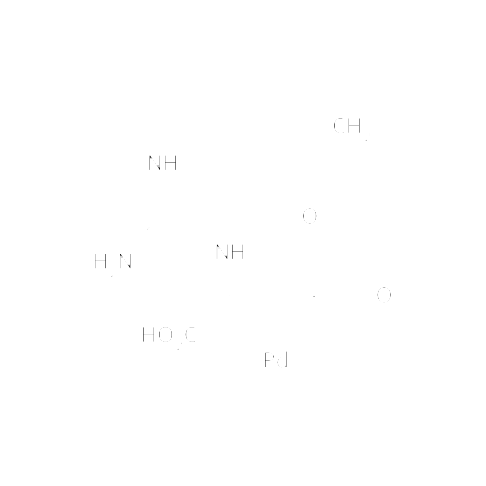 C=COC(=O)CC(NC(=N)N)C(=O)O.[Pd]